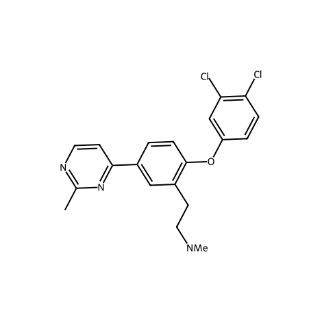 CNCCc1cc(-c2ccnc(C)n2)ccc1Oc1ccc(Cl)c(Cl)c1